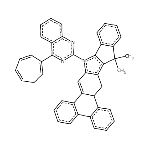 CC1(C)c2ccccc2-c2c1c1c(n2-c2nc(C3=CCC=CC=C3)c3ccccc3n2)C=C2c3ccccc3-c3ccccc3C2C1